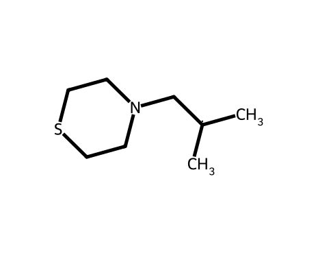 C[C](C)CN1CCSCC1